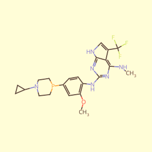 CNc1nc(Nc2ccc(P3CCN(C4CC4)CC3)cc2OC)nc2[nH]cc(C(F)(F)F)c12